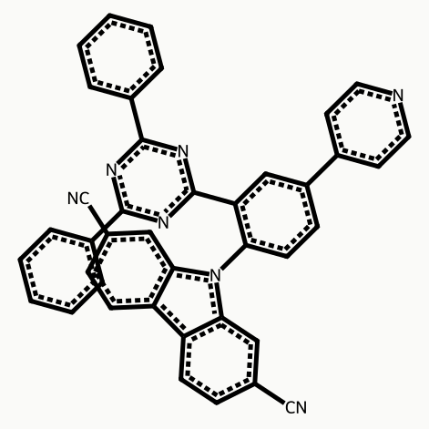 N#Cc1ccc2c3ccc(C#N)cc3n(-c3ccc(-c4ccncc4)cc3-c3nc(-c4ccccc4)nc(-c4ccccc4)n3)c2c1